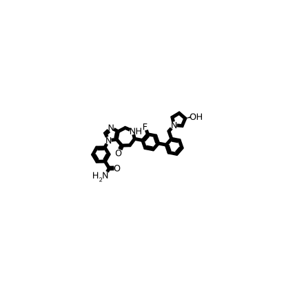 NC(=O)c1cccc(-n2cnc3c2C(=O)CC(c2ccc(-c4ccccc4CN4CC[C@H](O)C4)cc2F)NC3)c1